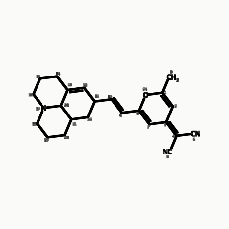 CC1=CC(=C(C#N)C#N)C=C(/C=C/C2C=C3CCCN4CCCC(C2)C34)O1